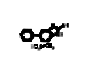 CS(=O)(=O)O.Sc1nc2cc(-c3ccncc3)ccc2[nH]1